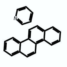 c1ccc2c(c1)ccc1c3ccccc3ccc21.c1ccncc1